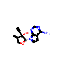 C#C[C@@]1(O)C(=C)CO[C@H]1n1ccc2c(N)ncnc21